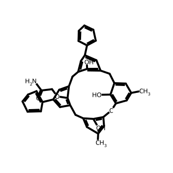 Cc1cc2c(O)c(c1)Cc1cc(-c3ccccc3)cc(c1O)Cc1cc(-c3ccccc3)cc(c1OCC(N)=O)Cc1cc(C)cc(c1O)C2